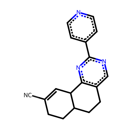 N#CC1=CC2c3nc(-c4ccncc4)ncc3CCC2CC1